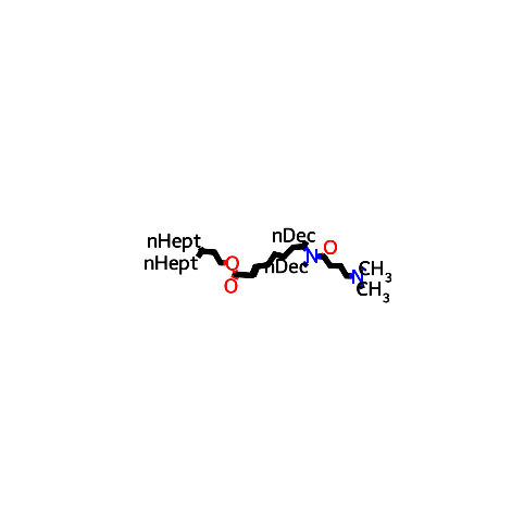 CCCCCCCCCCC(CCCCC=CC(=O)OCCC(CCCCCCC)CCCCCCC)N(CCCCCCCCCC)C(=O)CCCN(C)C